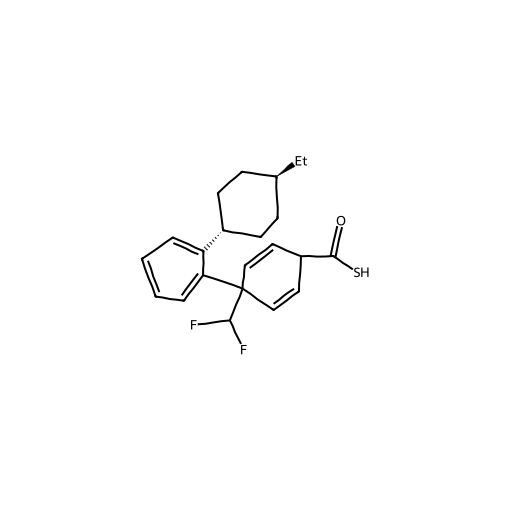 CC[C@H]1CC[C@H](c2ccccc2C2(C(F)F)C=CC(C(=O)S)C=C2)CC1